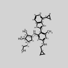 Cc1nc(NCC2CC2)nc(N[C@@H]2C[C@H](CCO)[C@@H](O)[C@H]2O)c1-c1nc2c(C3CC3)nccc2s1